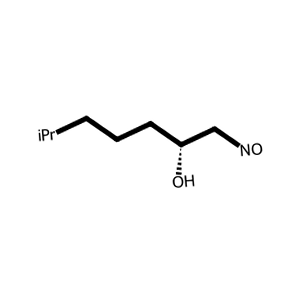 CC(C)CCC[C@@H](O)CN=O